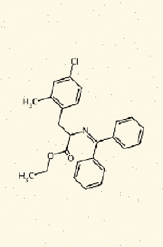 CCOC(=O)C(Cc1ccc(Cl)cc1C)N=C(c1ccccc1)c1ccccc1